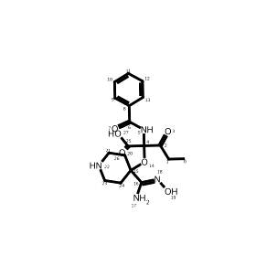 CCC(=O)C(NC(=O)c1ccccc1)(OC1(C(N)=NO)CCNCC1)C(=O)O